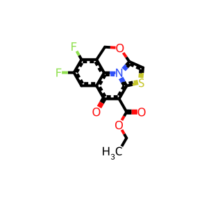 CCOC(=O)c1c(=O)c2cc(F)c(F)c3c2n2c(csc12)OC3